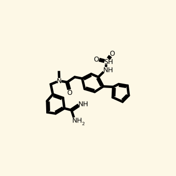 CN(Cc1cccc(C(=N)N)c1)C(=O)Cc1ccc(-c2ccccc2)c(N[SH](=O)=O)c1